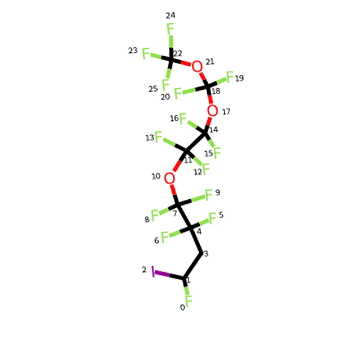 FC(I)CC(F)(F)C(F)(F)OC(F)(F)C(F)(F)OC(F)(F)OC(F)(F)F